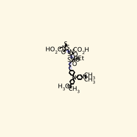 CCOOn1c(=O)/c(=C\C=C\c2ccc(N(c3ccc(N(C)C)cc3)c3ccc(N(C)C)cc3)cc2)s/c1=c1\s/c(=C2/SC(=S)N(CC(=O)O)C2=O)n(CC(=O)O)c1=O